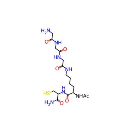 CC(=O)NC(CCCCNC(=O)CNC(=O)CNC(=O)CN)C(=O)NC(CS)C(N)=O